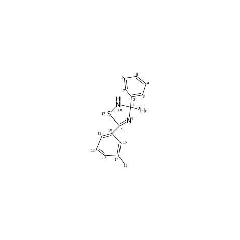 [2H]C1(c2ccccc2)N=C(c2cccc(C)c2)SN1